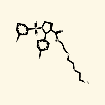 CCCOCCOCCNC(=O)C1=CCN(S(=O)(=O)c2cccc(F)c2)C1c1ccc(F)cc1